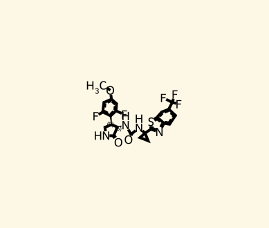 COc1cc(F)c([C@@H]2CNC(=O)[C@H]2NC(=O)NC2(c3nc4ccc(C(F)(F)F)cc4s3)CC2)c(F)c1